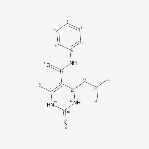 CC1=C(C(=O)Nc2ccccc2)C(CC(C)C)NC(=S)N1